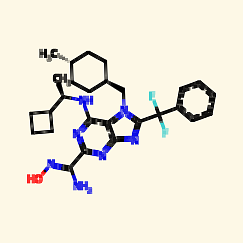 C[C@@H](Nc1nc(/C(N)=N/O)nc2nc(C(F)(F)c3ccccc3)n(C[C@H]3CC[C@H](C)CC3)c12)C1CCC1